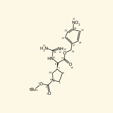 CC(C)(C)OC(=O)N1CC[C@H](C(NC(=N)N)C(=O)OCc2ccc([N+](=O)[O-])cc2)C1